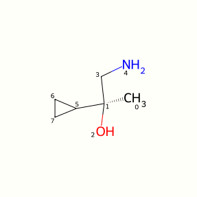 C[C@@](O)(CN)C1CC1